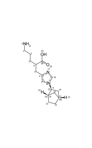 NCCCC(Cc1cn([C@H]2C[C@@H]3CC[C@H]2C3)cn1)C(=O)O